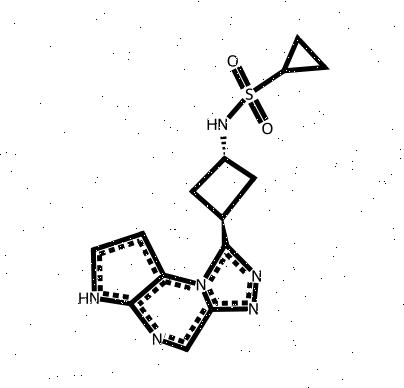 O=S(=O)(N[C@H]1C[C@H](c2nnc3cnc4[nH]ccc4n32)C1)C1CC1